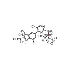 CC(C)n1c(C(C)(C)O)nc2c(F)cc(-c3nc(N[C@@H]4C[C@H]5OC[C@@H]([C@H]4O)N5S(C)(=O)=O)ncc3Cl)cc21